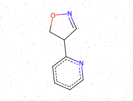 [C]1=NOCC1c1ccccn1